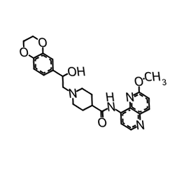 COc1ccc2nccc(NC(=O)C3CCN(CC(O)c4ccc5c(c4)OCCO5)CC3)c2n1